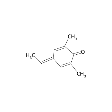 CC=C1C=C(C)C(=O)C(C)=C1